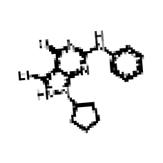 CCc1[nH]n(C2CCCC2)c2nc(Nc3ccccc3)nc(=O)c1-2